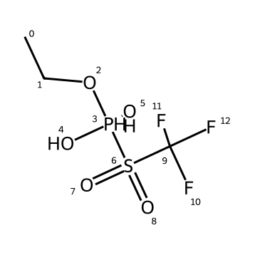 CCO[PH](O)(O)S(=O)(=O)C(F)(F)F